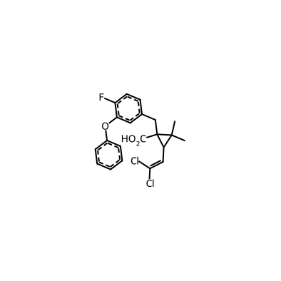 CC1(C)C(C=C(Cl)Cl)C1(Cc1ccc(F)c(Oc2ccccc2)c1)C(=O)O